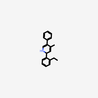 CCc1ccccc1C1C=C(C)C(c2ccccc2)=CN1